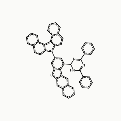 c1ccc(C2=NC(c3cc(-n4c5ccc6ccccc6c5c5c6ccccc6ccc54)cc4oc5cc6ccccc6cc5c34)NC(c3ccccc3)=N2)cc1